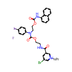 CCC[n+]1cc(Br)cc(C(=O)NCCOC(=O)N(CCOC(=O)Nc2cccc3ccccc23)c2ccc(I)cc2)c1.[I-]